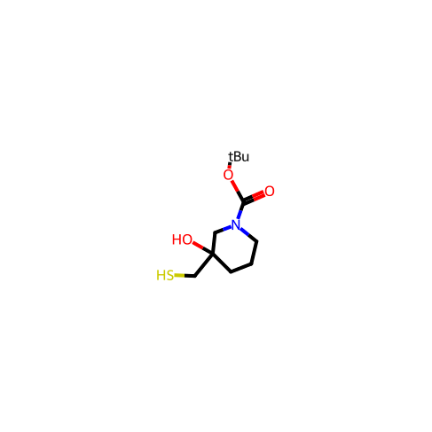 CC(C)(C)OC(=O)N1CCCC(O)(CS)C1